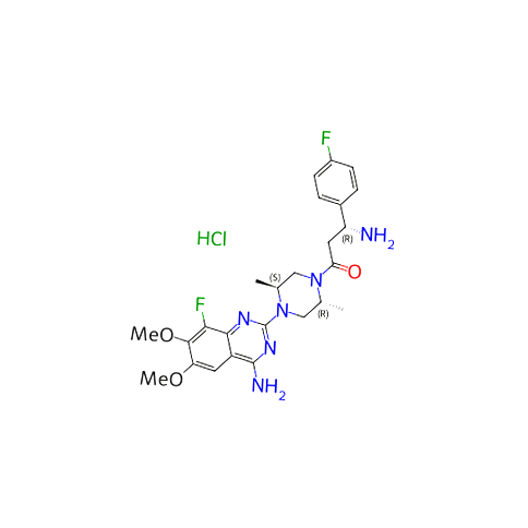 COc1cc2c(N)nc(N3C[C@@H](C)N(C(=O)C[C@@H](N)c4ccc(F)cc4)C[C@@H]3C)nc2c(F)c1OC.Cl